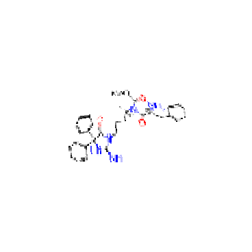 COC(=O)N(C(=O)[C@@H](N)Cc1ccccc1)[C@@H](C)CCCN1C(=N)NC(c2ccccc2)(c2ccccc2)C1=O